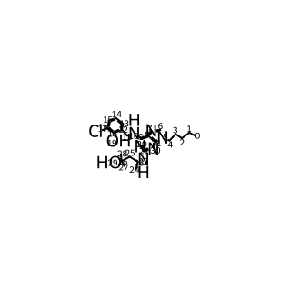 CCCCCn1cnc2c(NCc3cccc(Cl)c3O)nc(NC(C)CC(C)(C)O)nc21